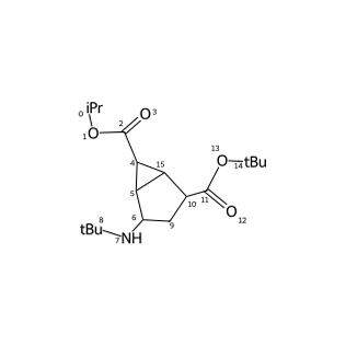 CC(C)OC(=O)C1C2C(NC(C)(C)C)CC(C(=O)OC(C)(C)C)C12